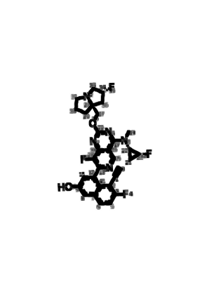 C#Cc1c(F)ccc2cc(O)cc(-c3ncc4c(N(C)[C@H]5C[C@H]5F)nc(OC[C@@]56CCCN5C[C@H](F)C6)nc4c3F)c12